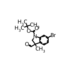 CC(C)(C)OC(=O)N1CC(C)(C=O)c2ccc(Br)cc21